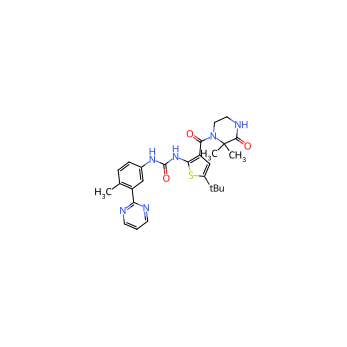 Cc1ccc(NC(=O)Nc2sc(C(C)(C)C)cc2C(=O)N2CCNC(=O)C2(C)C)cc1-c1ncccn1